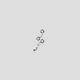 Cc1ccc(CNC(=O)c2ccccc2-c2ccccc2CNC(=O)OCCC2CC2)c(F)c1